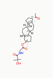 CC(=O)[C@H]1CC[C@H]2[C@@H]3CC[C@H]4C[C@](C)(OC(=O)CNC(=O)C(C)(C)O)CC[C@]4(C)[C@H]3CC[C@]12C